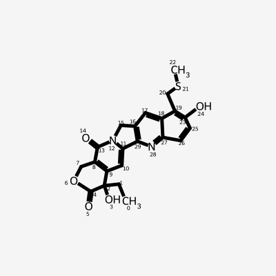 CCC1(O)C(=O)OCc2c1cc1n(c2=O)Cc2cc3c(CSC)c(O)ccc3nc2-1